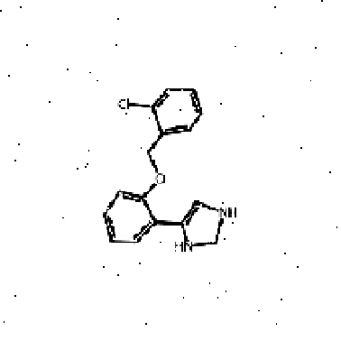 Clc1ccccc1COc1ccccc1C1=CNCN1